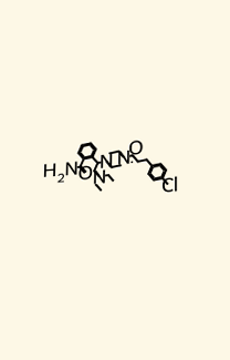 CCN(CC)CC(c1ccccc1C(N)=O)N1CCN(C(=O)[CH]Cc2ccc(Cl)cc2)CC1